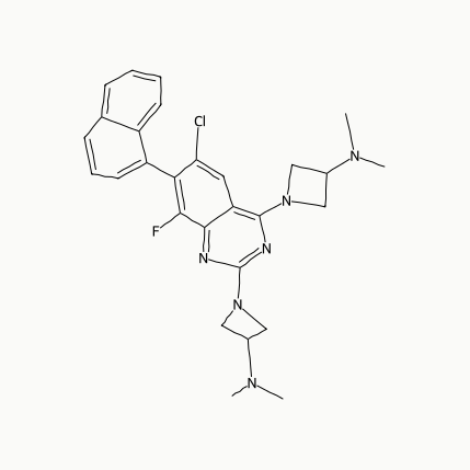 CN(C)C1CN(c2nc(N3CC(N(C)C)C3)c3cc(Cl)c(-c4cccc5ccccc45)c(F)c3n2)C1